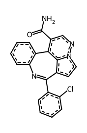 NC(=O)c1cnn2ccc3c2c1-c1ccccc1N=C3c1ccccc1Cl